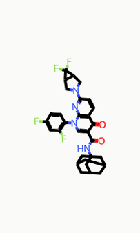 O=C(NC12CC3CC(CC(C3)C1)C2)c1cn(-c2ccc(F)cc2F)c2nc(N3CC4C(C3)C4(F)F)ccc2c1=O